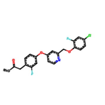 COC(=O)Cc1ccc(Oc2ccnc(COc3ccc(Cl)cc3F)c2)cc1F